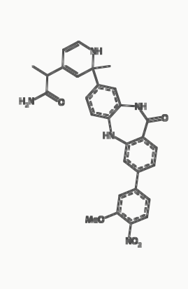 COc1cc(-c2ccc3c(c2)Nc2ccc(C4(C)C=C(C(C)C(N)=O)C=CN4)cc2NC3=O)ccc1[N+](=O)[O-]